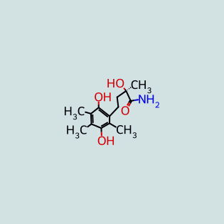 Cc1c(C)c(O)c(CC[C@@](C)(O)C(N)=O)c(C)c1O